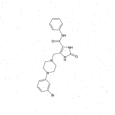 O=C(Nc1ccccc1)c1[nH]c(=O)[nH]c1CN1CCN(c2cccc(Br)c2)CC1